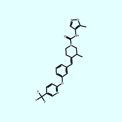 Cc1oncc1NC(=O)N1CCC(=Cc2cccc(Oc3ccc(C(F)(F)F)cn3)c2)C(C)C1